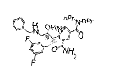 CCCN(CCC)C(=O)c1cnc([C@H](Cc2cc(F)cc(F)c2)[C@@H](O)CNCc2ccccc2)c(C(N)=O)c1